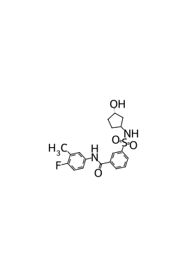 Cc1cc(NC(=O)c2cccc(S(=O)(=O)NC3CC[C@H](O)C3)c2)ccc1F